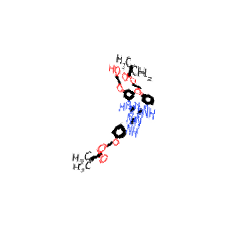 C=C(C)C(=O)OCCOc1cccc(Nc2nc(Nc3cccc(OCCO)c3)nc(Nc3cccc(OCCOC(=O)C(=C)C)c3)n2)c1